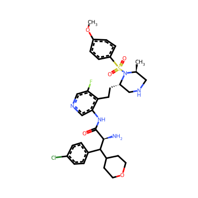 COc1ccc(S(=O)(=O)N2[C@@H](CCc3c(F)cncc3NC(=O)[C@@H](N)C(c3ccc(Cl)cc3)C3CCOCC3)CNC[C@@H]2C)cc1